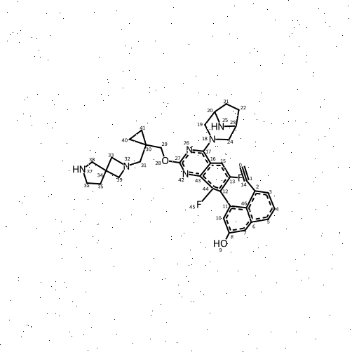 C#Cc1cccc2cc(O)cc(-c3c(F)cc4c(N5CC6CCC(C5)N6)nc(OCC5(CN6CC7(CCNC7)C6)CC5)nc4c3F)c12